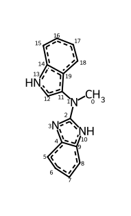 CN(c1nc2ccccc2[nH]1)c1c[nH]c2ccccc12